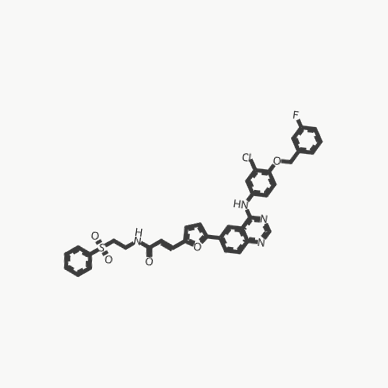 O=C(/C=C/c1ccc(-c2ccc3ncnc(Nc4ccc(OCc5cccc(F)c5)c(Cl)c4)c3c2)o1)NCCS(=O)(=O)c1ccccc1